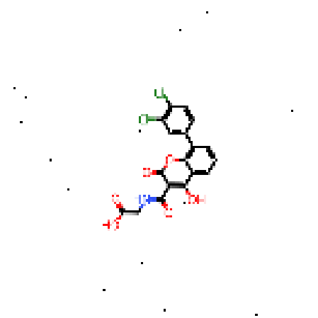 O=C(O)CNC(=O)c1c(O)c2cccc(-c3ccc(Cl)c(Cl)c3)c2oc1=O